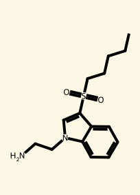 CCCCCS(=O)(=O)c1cn(CCN)c2ccccc12